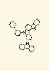 c1ccc(-c2cccc(-n3c4cc(-n5c6ccccc6c6ccccc65)ccc4c4c5sc6ccccc6c5ccc43)c2)cc1